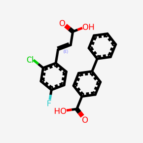 O=C(O)/C=C/c1ccc(F)cc1Cl.O=C(O)c1ccc(-c2ccccc2)cc1